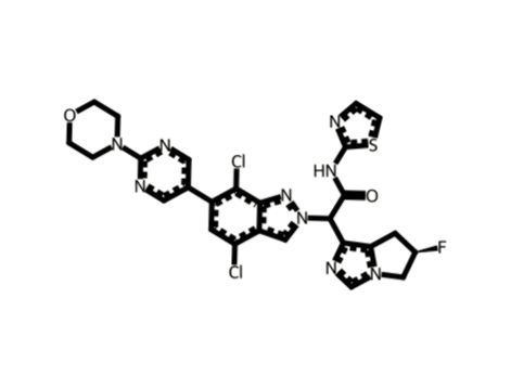 O=C(Nc1nccs1)C(c1ncn2c1C[C@@H](F)C2)n1cc2c(Cl)cc(-c3cnc(N4CCOCC4)nc3)c(Cl)c2n1